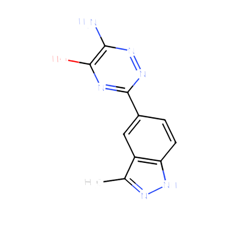 Cc1n[nH]c2ccc(-c3nnc(N)c(O)n3)cc12